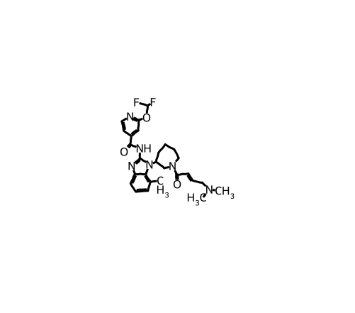 Cc1cccc2nc(NC(=O)c3ccnc(OC(F)F)c3)n(C3CCCCN(C(=O)/C=C/CN(C)C)C3)c12